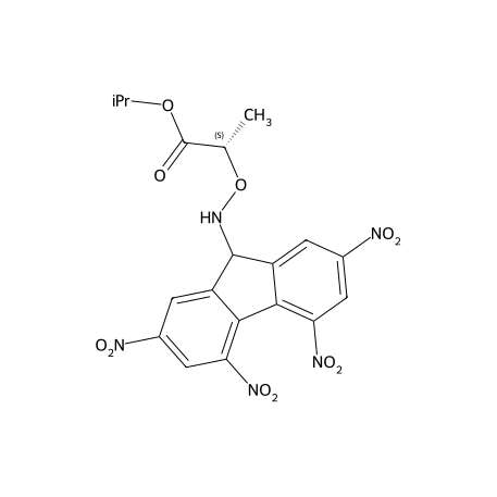 CC(C)OC(=O)[C@H](C)ONC1c2cc([N+](=O)[O-])cc([N+](=O)[O-])c2-c2c1cc([N+](=O)[O-])cc2[N+](=O)[O-]